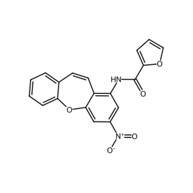 O=C(Nc1cc([N+](=O)[O-])cc2c1C=Cc1ccccc1O2)c1ccco1